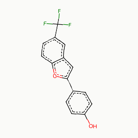 Oc1ccc(-c2cc3cc(C(F)(F)F)ccc3o2)cc1